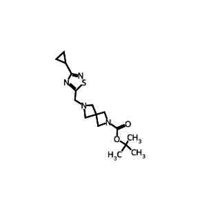 CC(C)(C)OC(=O)N1CC2(CN(Cc3nc(C4CC4)ns3)C2)C1